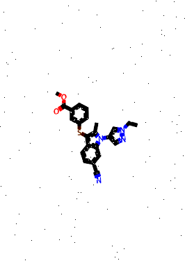 CCn1cc(-n2c(C)c(Sc3cccc(C(=O)OC)c3)c3ccc(C#N)cc32)cn1